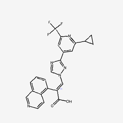 O=C(O)/C(=C/n1cnc(-c2cc(C3CC3)nc(C(F)(F)F)c2)n1)c1cccc2cnccc12